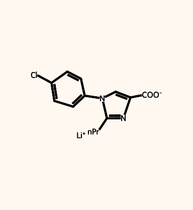 CCCc1nc(C(=O)[O-])cn1-c1ccc(Cl)cc1.[Li+]